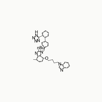 CCCCc1nc2c(C)ccc(OCCCCn3cnc4ccccc43)c2n1Cc1ccc(-c2ccccc2-c2nnn[nH]2)cc1